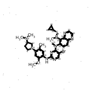 COc1cc(N2CCC(N(C)C)C2)c(C)cc1Nc1ncc(Br)c(N(I)c2ccc3nccnc3c2N(C)SC2CC2)n1